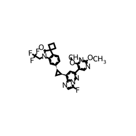 COc1ncc(-c2cc([C@H]3C[C@@H]3c3ccc4c(c3)N(CC(F)(F)F)C(=O)C43CCC3)c3ncc(F)n3n2)c(OC)n1